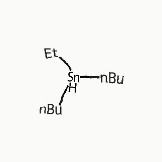 CCC[CH2][SnH]([CH2]C)[CH2]CCC